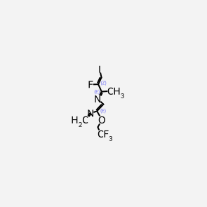 C=N\C(=C/N=C(C)/C(F)=C/I)OCC(F)(F)F